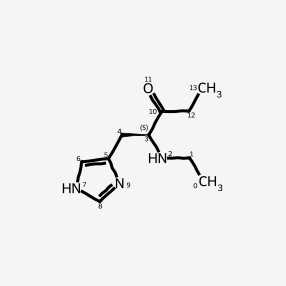 CCN[C@@H](Cc1c[nH]cn1)C(=O)CC